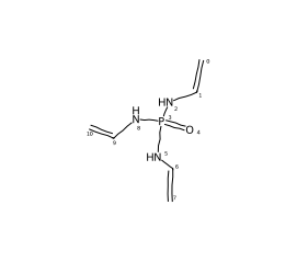 C=CNP(=O)(NC=C)NC=C